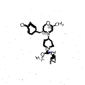 CO/C(=N\C#N)N1CCC(N2C[C@H](C)OC[C@@H]2Cc2ccc(Cl)cc2)CC1